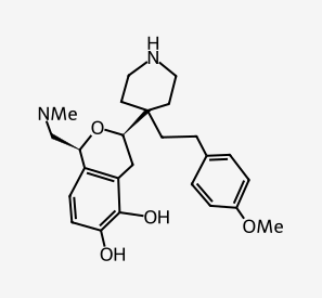 CNC[C@H]1O[C@@H](C2(CCc3ccc(OC)cc3)CCNCC2)Cc2c1ccc(O)c2O